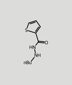 CCCCNNC(=O)c1cccs1